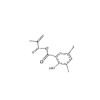 C=C(C)C(=O)OC(=O)c1cc(I)cc(I)c1O